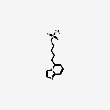 CS(=O)(=O)OCCCCc1cccc2nccn12